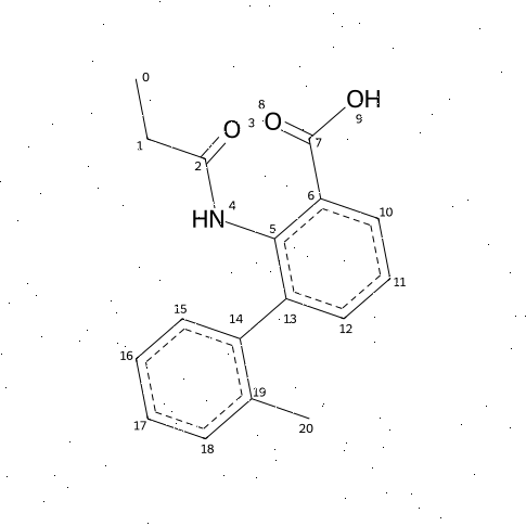 CCC(=O)Nc1c(C(=O)O)cccc1-c1ccccc1C